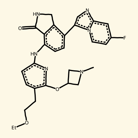 CCOCCc1ccc(Nc2ccc(-c3cnc4cc(F)ccn34)c3c2C(=O)NC3)nc1OC1CN(C)C1